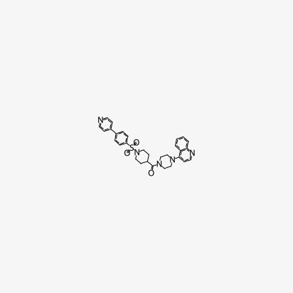 O=C(C1CCN(S(=O)(=O)c2ccc(-c3ccncc3)cc2)CC1)N1CCN(c2ccnc3ccccc23)CC1